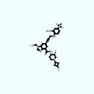 COc1cc(S(C)(=O)=O)ccc1NCC#Cc1cc(C(=O)N[C@H]2CCN(C3CC(F)C3)C[C@@H]2C)c2ncn(CC(F)(F)F)c2c1